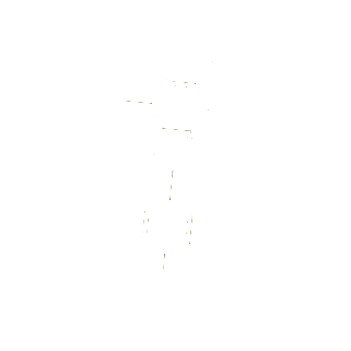 COc1ncc(-c2nc3c(C)nc(N)nc3s2)cc1C